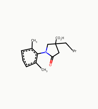 Cc1cccc(C)c1N1CC(CC(C)C)(C(=O)O)CC1=O